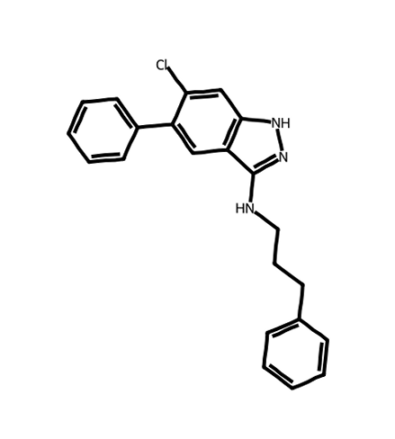 Clc1cc2[nH]nc(NCCCc3ccccc3)c2cc1-c1ccccc1